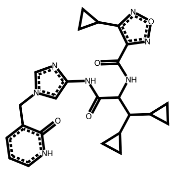 O=C(NC(C(=O)Nc1cn(Cc2ccc[nH]c2=O)cn1)C(C1CC1)C1CC1)c1nonc1C1CC1